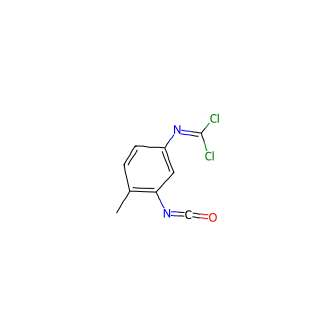 Cc1ccc(N=C(Cl)Cl)cc1N=C=O